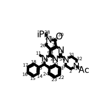 CC(=O)N1CCN(c2nc3c(c(N(C)C(c4ccccc4)c4ccccc4)n2)CN(C(C)C)C3=O)CC1